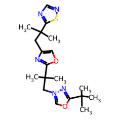 CC(C)(C)c1n[n+](CC(C)(C)c2nc(CC(C)(C)c3ncns3)co2)co1